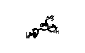 NC(=O)N1CCNCC1CCc1ccc(Cl)cc1